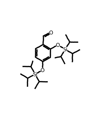 CC(C)[Si](Oc1ccc(C=O)c(O[Si](C(C)C)(C(C)C)C(C)C)c1)(C(C)C)C(C)C